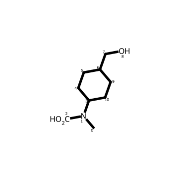 CN(C(=O)O)C1CCC(CO)CC1